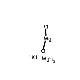 Cl.[Cl][Mg][Cl].[MgH2]